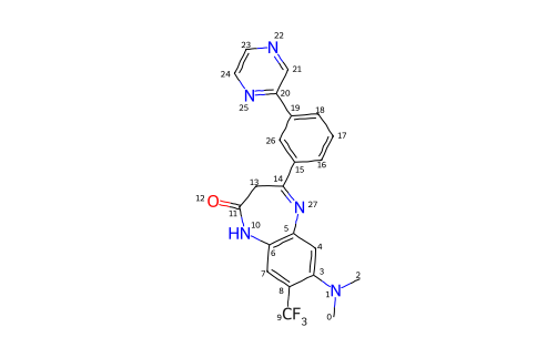 CN(C)c1cc2c(cc1C(F)(F)F)NC(=O)CC(c1cccc(-c3cnccn3)c1)=N2